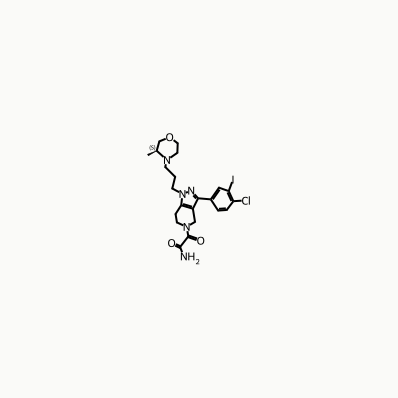 C[C@H]1COCCN1CCCn1nc(-c2ccc(Cl)c(I)c2)c2c1CCN(C(=O)C(N)=O)C2